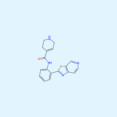 O=C(Nc1ccccc1-c1nc2ccncc2s1)C1=CCNCC1